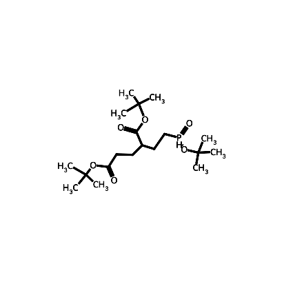 CC(C)(C)OC(=O)CCC(CC[PH](=O)OC(C)(C)C)C(=O)OC(C)(C)C